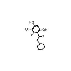 Cc1c(O)cc(O)c(C(=O)CC2CCCCC2)c1F